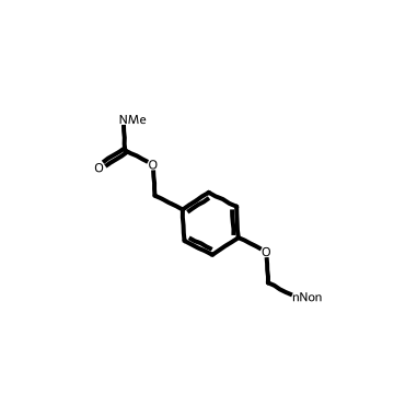 CCCCCCCCCCOc1ccc(COC(=O)NC)cc1